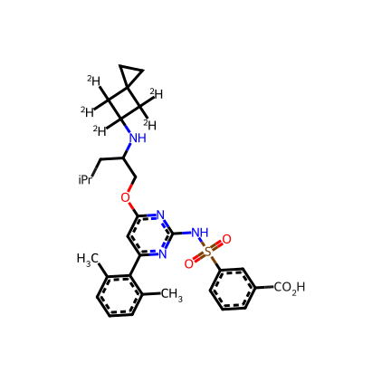 [2H]C1([2H])C2(CC2)C([2H])([2H])C1([2H])NC(COc1cc(-c2c(C)cccc2C)nc(NS(=O)(=O)c2cccc(C(=O)O)c2)n1)CC(C)C